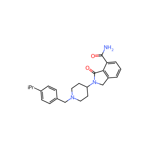 CC(C)c1ccc(CN2CCC(N3Cc4cccc(C(N)=O)c4C3=O)CC2)cc1